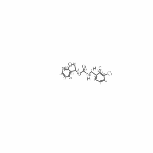 Cc1c(Cl)cccc1CNC(=O)OC1COc2ncccc21